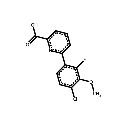 COc1c(Cl)ccc(-c2cccc(C(=O)O)n2)c1F